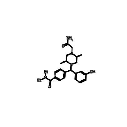 CCN(CC)C(=O)c1ccc(C(c2cccc(O)c2)N2CC(C)N(CC(N)=O)CC2C)cc1